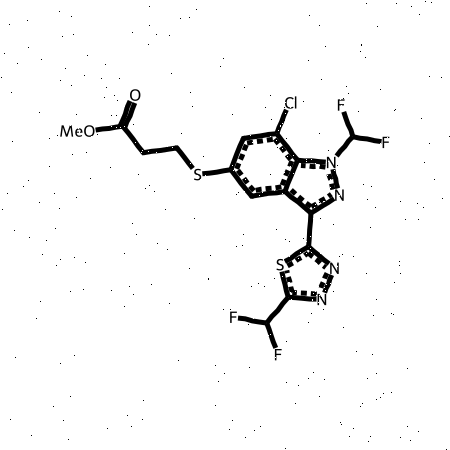 COC(=O)CCSc1cc(Cl)c2c(c1)c(-c1nnc(C(F)F)s1)nn2C(F)F